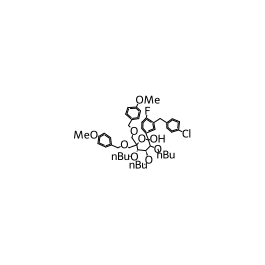 CCCCOC1[C@@H](OCCCC)[C@H](OCCCC)C(COCc2ccc(OC)cc2)(COCc2ccc(OC)cc2)OC1(O)c1ccc(F)c(Cc2ccc(Cl)cc2)c1